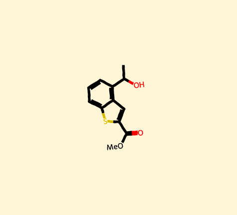 COC(=O)c1cc2c(C(C)O)cccc2s1